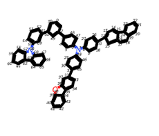 c1cc(-c2ccc(N(c3ccc(-c4ccc5c(ccc6ccccc65)c4)cc3)c3ccc(-c4ccc5c(c4)oc4ccccc45)cc3)cc2)cc(-c2cccc(-n3c4ccccc4c4ccccc43)c2)c1